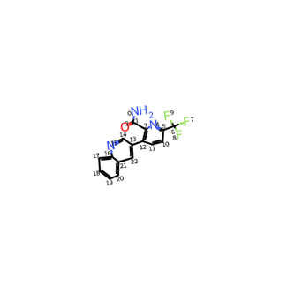 NC(=O)c1nc(C(F)(F)F)ccc1-c1cnc2ccccc2c1